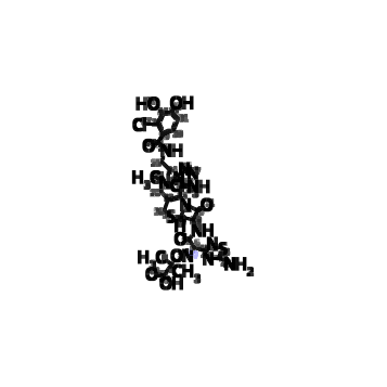 CC(C)(O/N=C(\C(=O)N[C@@H]1C(=O)N2C(c3nnn[nH]3)=C(C[N+](C)(C)CCNC(=O)c3ccc(O)c(O)c3Cl)CS[C@H]12)c1nsc(N)n1)C(=O)O